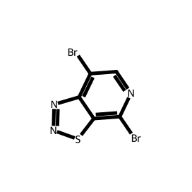 Brc1cnc(Br)c2snnc12